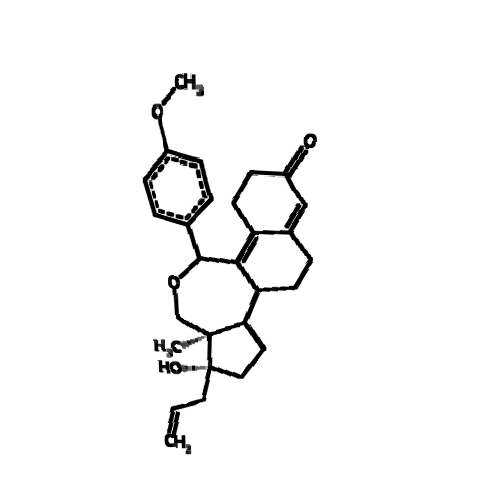 C=CC[C@]1(O)CCC2C3CCC4=CC(=O)CCC4=C3C(c3ccc(OC)cc3)OC[C@@]21C